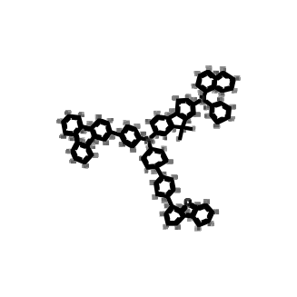 CC1(C)c2cc(N(c3ccc(-c4ccc(-c5cccc6c5oc5ccccc56)cc4)cc3)c3ccc(-c4ccc5c6ccccc6c6ccccc6c5c4)cc3)ccc2-c2ccc(N(c3ccccc3)c3cccc4ccccc34)cc21